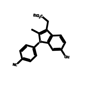 CCOC(=O)Cc1c(C)n(-c2ccc(C#N)cc2)c2cc(O)ccc12